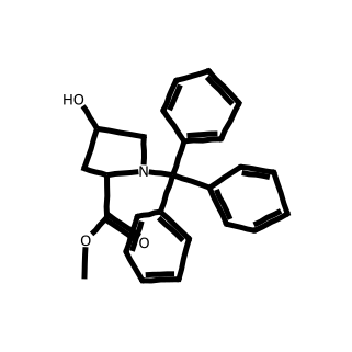 COC(=O)C1CC(O)CN1C(c1ccccc1)(c1ccccc1)c1ccccc1